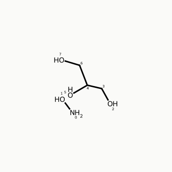 NO.OCC(O)CO